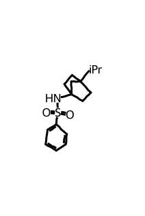 CC(C)C12CCC(NS(=O)(=O)c3ccccc3)(CC1)C2